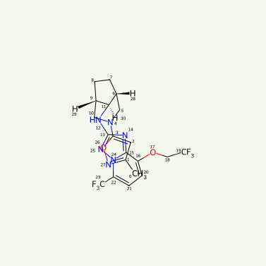 Cc1cc(N2C[C@H]3CC[C@@H](C2)[C@@H]3Nc2nc3c(OCC(F)(F)F)ccc(C(F)(F)F)n3n2)on1